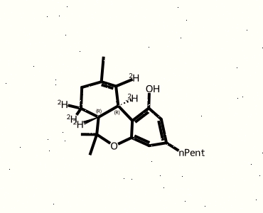 [2H]C1=C(C)CC([2H])([2H])[C@@]2([2H])C(C)(C)Oc3cc(CCCCC)cc(O)c3[C@]12[2H]